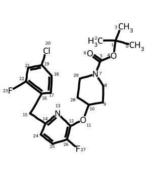 CC(C)(C)OC(=O)N1CCC(Oc2nc(Cc3ccc(Cl)cc3F)ccc2F)CC1